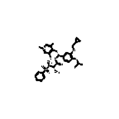 C[C@@H](C(=O)O[C@H](Cc1c(Cl)c[n+]([O-])cc1Cl)c1ccc(OC(F)F)c(OCC2CC2)c1)N(C)S(=O)(=O)c1ccccc1